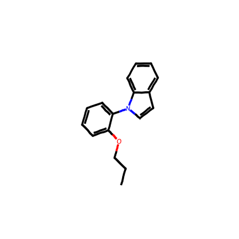 CCCOc1ccccc1-n1[c]cc2ccccc21